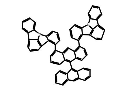 c1ccc2c(-c3c4cccc(-c5cccc6c5c5cccc7c8ccccc8n6c75)c4cc4c(-c5cccc6c5c5cccc7c8ccccc8n6c75)cccc34)c3ccccc3cc2c1